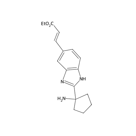 CCOC(=O)C=Cc1ccc2[nH]c(C3(N)CCCC3)nc2c1